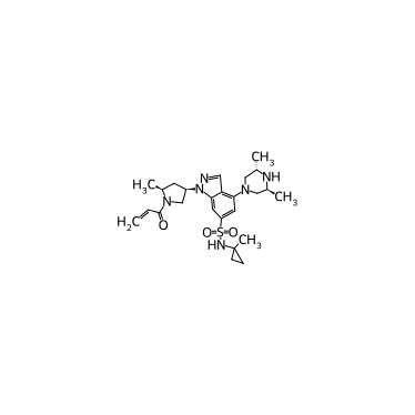 C=CC(=O)N1C[C@H](n2ncc3c(N4C[C@H](C)N[C@@H](C)C4)cc(S(=O)(=O)NC4(C)CC4)cc32)C[C@@H]1C